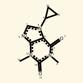 Cn1c(=O)c2c(ncn2C2CC2)n(C)c1=O